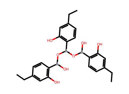 CCc1ccc(B(O)OB(OB(O)c2ccc(CC)cc2O)c2ccc(CC)cc2O)c(O)c1